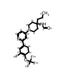 CCCC1(NC=O)CCN(c2ccnc(C3=CC(F)=C(OC(F)(F)F)CC3)c2)CC1